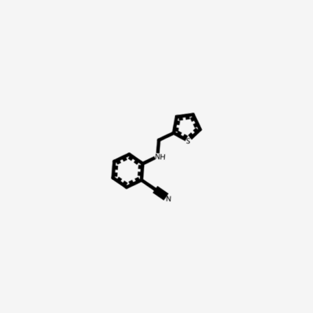 N#Cc1ccccc1NCc1cccs1